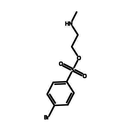 CNCCOS(=O)(=O)c1ccc(Br)cc1